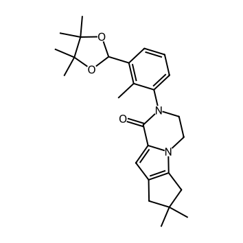 Cc1c(C2OC(C)(C)C(C)(C)O2)cccc1N1CCn2c(cc3c2CC(C)(C)C3)C1=O